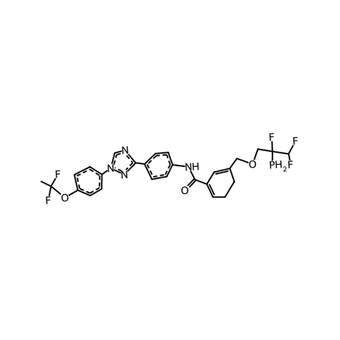 CC(F)(F)Oc1ccc(-n2cnc(-c3ccc(NC(=O)C4=CCCC(COCC(F)(P)C(F)F)=C4)cc3)n2)cc1